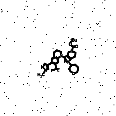 Cn1cc(-c2cc3c(cc2C(F)F)N(c2nn(C4CCCOCC4)c4c2CN(C(=O)OC(C)(C)C)CC4)CCC3)cn1